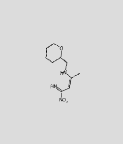 C/C(=C/C(=N)[N+](=O)[O-])NCC1CCCCO1